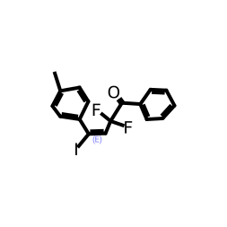 Cc1ccc(/C(I)=C\C(F)(F)C(=O)c2ccccc2)cc1